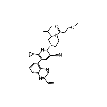 C=Cc1cnc2c(-c3cc(C#N)c(N4CCN(C(=O)CCOC)C(C(C)C)C4)nc3C3CC3)cccc2n1